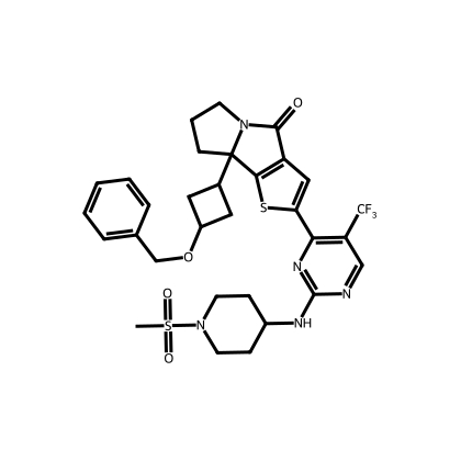 CS(=O)(=O)N1CCC(Nc2ncc(C(F)(F)F)c(-c3cc4c(s3)C3(C5CC(OCc6ccccc6)C5)CCCN3C4=O)n2)CC1